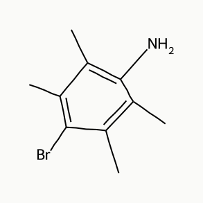 Cc1c(C)c(Br)c(C)c(C)c1N